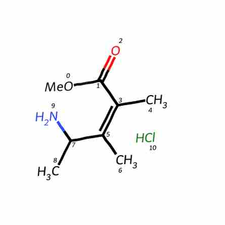 COC(=O)C(C)=C(C)C(C)N.Cl